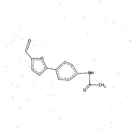 CC(=O)Nc1ccc(-c2ccc(C=O)o2)cc1